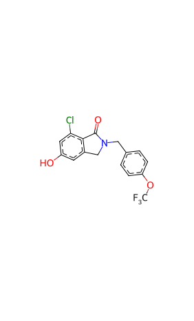 O=C1c2c(Cl)cc(O)cc2CN1Cc1ccc(OC(F)(F)F)cc1